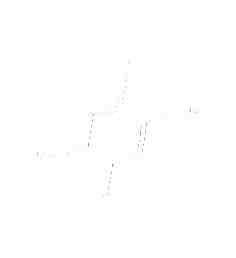 COc1cc(C)c(OC)c(C)c1Br